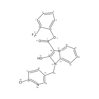 O=C(Oc1ccccc1C(F)(F)F)c1c(O)n(Cc2ccc(Cl)nc2)c2cccc[n+]12